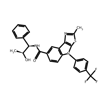 Cc1nc2c3cc(C(=O)N[C@H](c4ccccc4)[C@H](C)O)ccc3n(-c3ccc(C(F)(F)F)cc3)c2s1